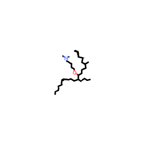 CCCCC/C=C\CCCC(CCCC)C(CCCC(C)CCCCC)OCCCCN(C)C